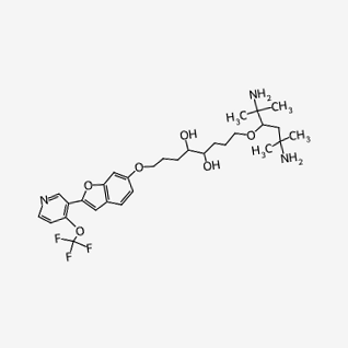 CC(C)(N)CC(OCCCC(O)C(O)CCCOc1ccc2cc(-c3cnccc3OC(F)(F)F)oc2c1)C(C)(C)N